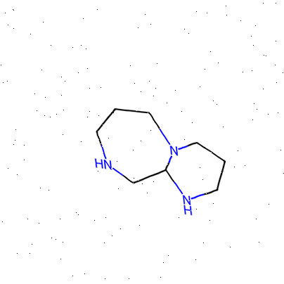 C1CNCC2NCCCN2C1